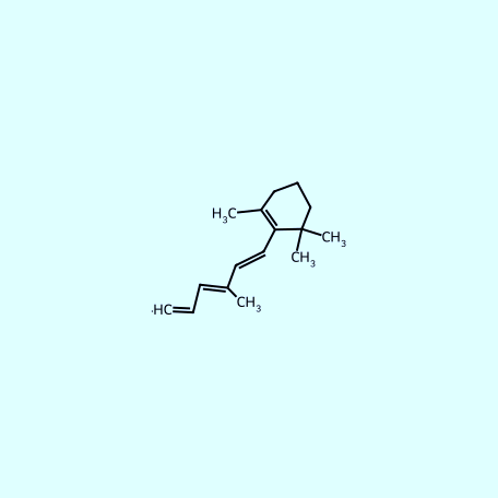 [CH]=C/C=C(C)/C=C/C1=C(C)CCCC1(C)C